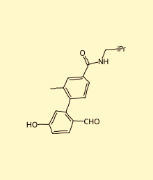 Cc1cc(C(=O)NCC(C)C)ccc1-c1cc(O)ccc1C=O